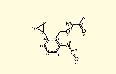 CC(=O)NOCc1c(N=C=O)cccc1C1CC1